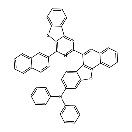 c1ccc(N(c2ccccc2)c2ccc3c(c2)oc2c4ccccc4cc(-c4nc(-c5ccc6ccccc6c5)c5sc6ccccc6c5n4)c32)cc1